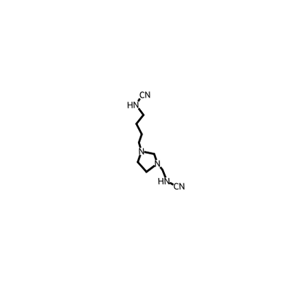 N#CNCCCCN1CCN(CNC#N)C1